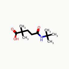 CC(C)(C)NC(=O)CCC(C)(C)C(=O)O